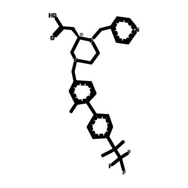 Cc1cc(CN2CCN(Cc3ccncc3)[C@H](CC(=O)O)C2)ccc1-c1ccc(C(C)(C)C(F)(F)F)cc1